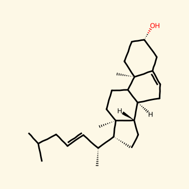 CC(C)C/C=C/[C@@H](C)[C@H]1CC[C@H]2[C@@H]3CC=C4C[C@@H](O)CC[C@]4(C)C3CC[C@]12C